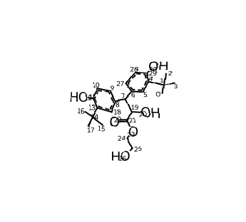 CC(C)(C)c1cc(C(c2ccc(O)c(C(C)(C)C)c2)C(O)C(=O)OCCO)ccc1O